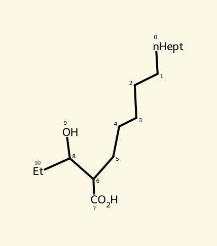 CCCCCCCCCCCCC(C(=O)O)C(O)CC